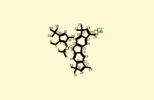 CCC1=[C]([Zr+2](=[C](C)C)[CH]2c3cc4c(cc3-c3cc5c(cc32)C(C)(C)C=C5C)C(C)=CC4(C)C)C(C)C=C1C(C)(C)C.[Cl-].[Cl-]